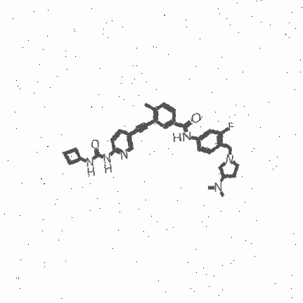 Cc1ccc(C(=O)Nc2ccc(CN3CCC(N(C)C)C3)c(F)c2)cc1C#Cc1ccc(NC(=O)NC2CCC2)nc1